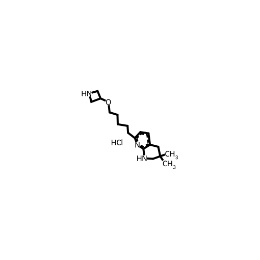 CC1(C)CNc2nc(CCCCCOC3CNC3)ccc2C1.Cl